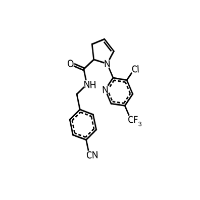 N#Cc1ccc(CNC(=O)C2CC=CN2c2ncc(C(F)(F)F)cc2Cl)cc1